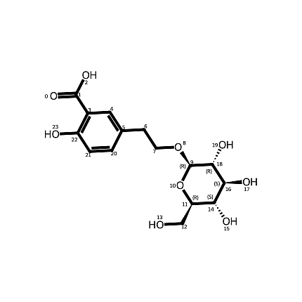 O=C(O)c1cc(CCO[C@@H]2O[C@H](CO)[C@@H](O)[C@H](O)[C@H]2O)ccc1O